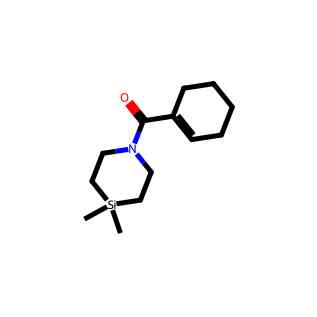 C[Si]1(C)CCN(C(=O)C2=CCCCC2)CC1